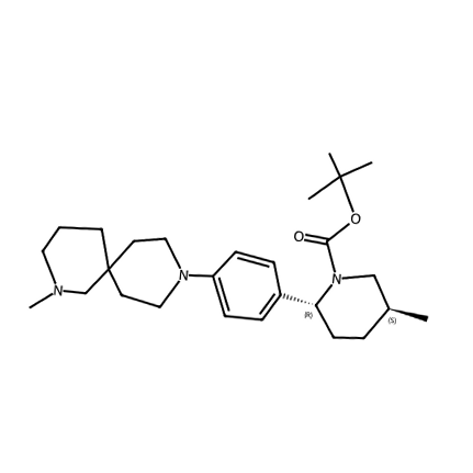 C[C@H]1CC[C@H](c2ccc(N3CCC4(CCCN(C)C4)CC3)cc2)N(C(=O)OC(C)(C)C)C1